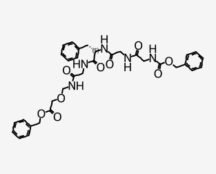 O=C(CNC(=O)OCc1ccccc1)NCC(=O)N[C@@H](Cc1ccccc1)C(=O)NCC(=O)NCOCC(=O)OCc1ccccc1